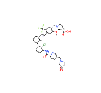 COc1cc(/C=C/c2cccc(-c3cccc(NC(=O)c4ccc(CN5CC[C@@H](O)C5)cn4)c3Cl)c2C)c(C(F)(F)F)cc1CN1CC[C@@H](C(=O)O)C1